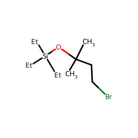 CC[Si](CC)(CC)OC(C)(C)CCBr